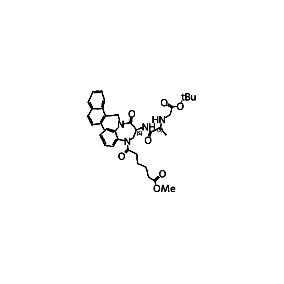 COC(=O)CCCCC(=O)N1C[C@H](NC(=O)[C@H](C)NCC(=O)OC(C)(C)C)C(=O)N(Cc2c(C)ccc3ccccc23)c2ccccc21